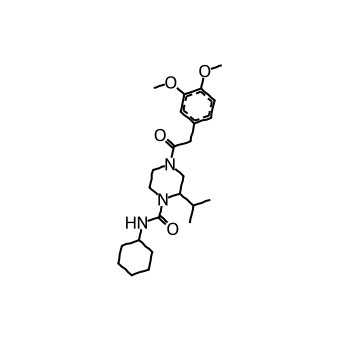 COc1ccc(CC(=O)N2CCN(C(=O)NC3CCCCC3)C(C(C)C)C2)cc1OC